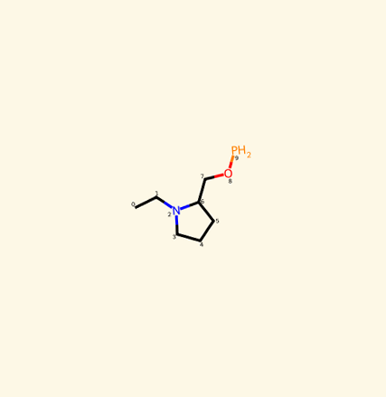 CCN1CCCC1COP